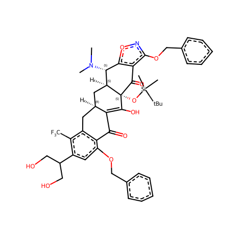 CN(C)[C@@H]1c2onc(OCc3ccccc3)c2C(=O)[C@@]2(O[Si](C)(C)C(C)(C)C)C(O)=C3C(=O)c4c(OCc5ccccc5)cc(C(CO)CO)c(C(F)(F)F)c4C[C@H]3C[C@@H]12